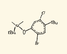 CC(C)(C)c1cc(Br)c(O[Si](C)(C)C(C)(C)C)cc1Cl